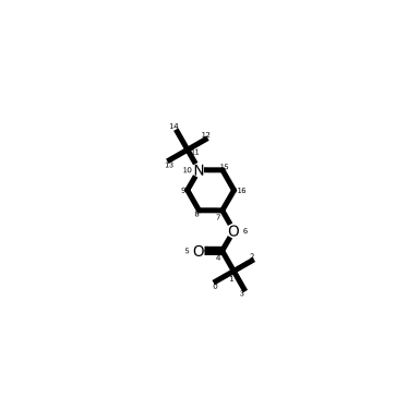 CC(C)(C)C(=O)OC1CCN(C(C)(C)C)CC1